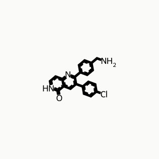 NCc1ccc(-c2nc3cc[nH]c(=O)c3cc2-c2ccc(Cl)cc2)cc1